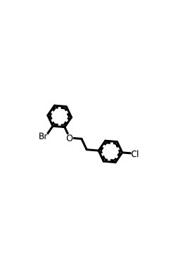 Clc1ccc(CCOc2ccccc2Br)cc1